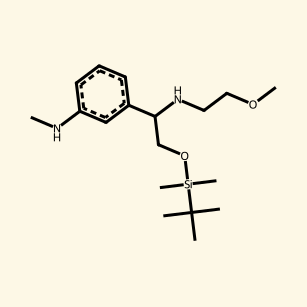 CNc1cccc(C(CO[Si](C)(C)C(C)(C)C)NCCOC)c1